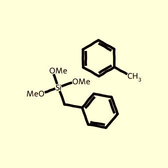 CO[Si](Cc1ccccc1)(OC)OC.Cc1ccccc1